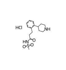 CS(=O)(=O)NC(=O)CCc1ccccc1C1CCNCC1.Cl